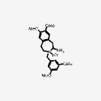 CCC[N+]1(Cc2cc(OC)cc(OC)c2)CCc2cc(OC)c(OC)cc2CC1N